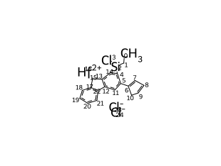 CC[Si]1(Cl)c2c(C3=CC=CC3)cc3c(c21)[CH]([Hf+2])c1ccccc1-3.[Cl-].[Cl-]